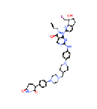 C=CCn1c(=O)c2cnc(Nc3ccc(N4CCC(CN5CCN(c6ccc(C7CCC(=O)NC7=O)cc6)CC5)CC4)cc3)nc2n1-c1ccc2c(n1)[C@@](O)(CI)CC2